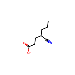 CCCC(C#N)CCC(=O)O